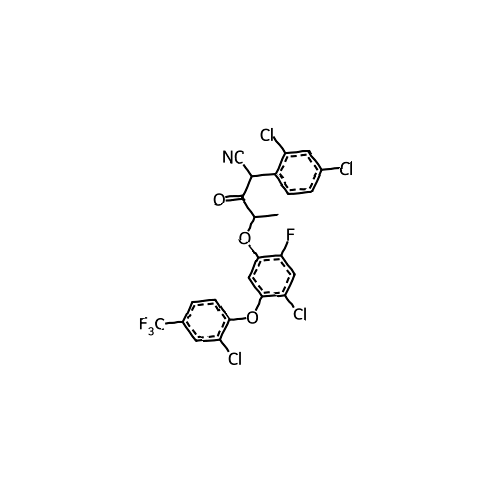 CC(Oc1cc(Oc2ccc(C(F)(F)F)cc2Cl)c(Cl)cc1F)C(=O)C(C#N)c1ccc(Cl)cc1Cl